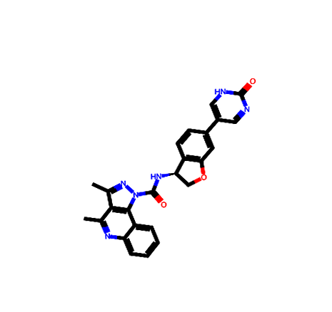 Cc1nc2ccccc2c2c1c(C)nn2C(=O)N[C@@H]1COc2cc(-c3cnc(=O)[nH]c3)ccc21